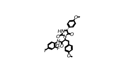 COc1ccc(CC(C(=O)Nc2ccc(I)cc2F)N2C(=O)N[C@H](c3ccc(OC)cc3)C2=O)cc1